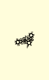 O=S(=O)(Nc1cc(F)ccc1S(=O)(=O)c1ccccc1)c1cc2ccccc2o1